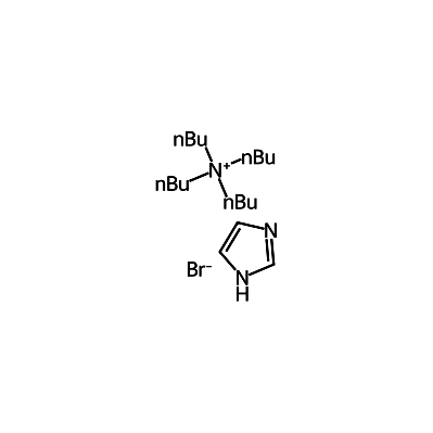 CCCC[N+](CCCC)(CCCC)CCCC.[Br-].c1c[nH]cn1